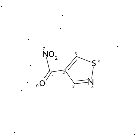 O=C(c1cnsc1)[N+](=O)[O-]